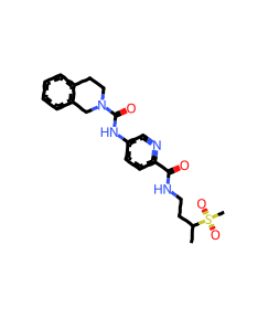 CC(CCNC(=O)c1ccc(NC(=O)N2CCc3ccccc3C2)cn1)S(C)(=O)=O